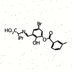 Cc1cccc(C(=O)Oc2cc(Br)cc(C=NC(C(=O)O)C(C)C)c2O)c1